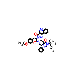 COc1ccc(C[C@@H](NC(=O)c2cnc3ccccc3c2)C(=O)N2CCC3(CC2)C(=O)N(C(C)C)CN3c2ccccc2)cc1